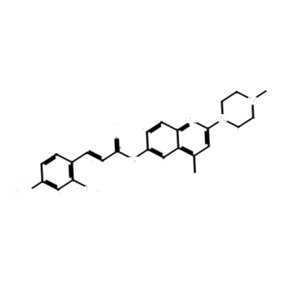 Cc1cc(N2CCN(C)CC2)nc2ccc(NC(=O)/C=C/c3ccc(C(F)(F)F)cc3F)cc12